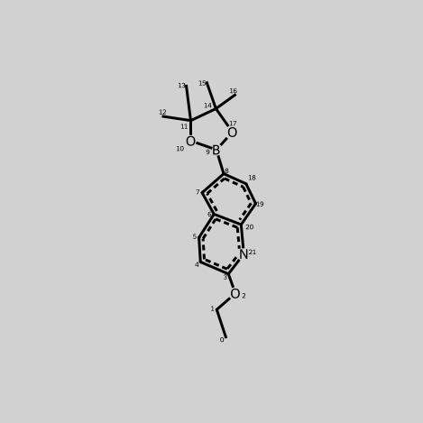 CCOc1ccc2cc(B3OC(C)(C)C(C)(C)O3)ccc2n1